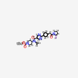 CC(C)(C)OC(=O)N1CCC(N(C(=O)c2cnc(-c3ccc(CC(=O)N4CCC[C@@H]4I)cc3)nc2)C2CC2)CC1